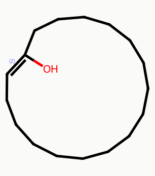 O/C1=C\CCCCCCCCCCCCCCC1